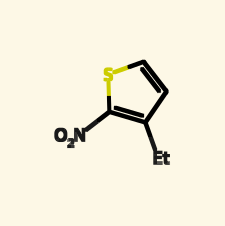 CCc1ccsc1[N+](=O)[O-]